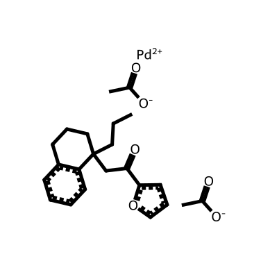 CC(=O)[O-].CC(=O)[O-].CCCC1(CC(=O)c2ccco2)CCCc2ccccc21.[Pd+2]